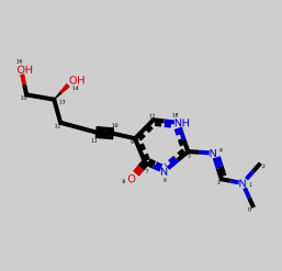 CN(C)C=Nc1nc(=O)c(C#CC[C@H](O)CO)c[nH]1